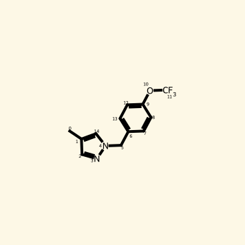 Cc1cnn(Cc2ccc(OC(F)(F)F)cc2)c1